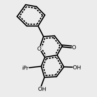 CC(C)c1c(O)cc(O)c2c(=O)cc(-c3ccccc3)oc12